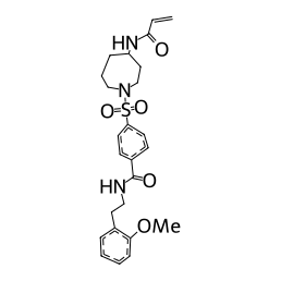 C=CC(=O)NC1CCCN(S(=O)(=O)c2ccc(C(=O)NCCc3ccccc3OC)cc2)CC1